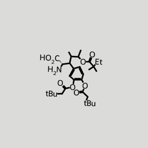 CCC(C)(C)C(=O)OC(C)C(C)C(c1ccc(OC(=O)CC(C)(C)C)c(OC(=O)CC(C)(C)C)c1)[C@H](N)C(=O)O